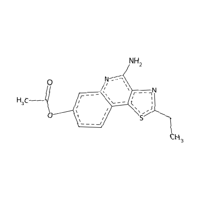 CCc1nc2c(N)nc3cc(OC(C)=O)ccc3c2s1